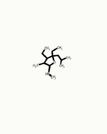 CBC1OC(CC)(CC(C)C)C(CC)C1C